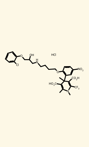 CC1=C(C(=O)O)C(C)(c2cc([N+](=O)[O-])ccc2OCCCCNCC(O)COc2ccccc2Cl)C(C(=O)O)=C(C(F)(F)F)N1C.Cl